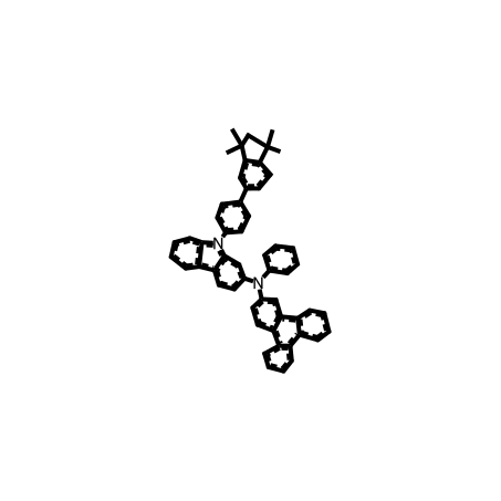 CC1(C)CC(C)(C)c2cc(-c3ccc(-n4c5ccccc5c5ccc(N(c6ccccc6)c6ccc7c8ccccc8c8ccccc8c7c6)cc54)cc3)ccc21